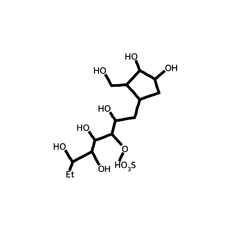 CCC(O)C(O)C(O)C(OS(=O)(=O)O)C(O)CC1CC(O)C(O)C1CO